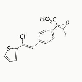 CC1OC1(C(=O)O)c1ccc(/C=C(\Cl)c2cccs2)cc1